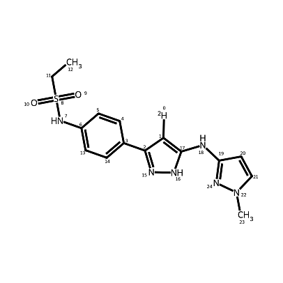 [2H]c1c(-c2ccc(NS(=O)(=O)CC)cc2)n[nH]c1Nc1ccn(C)n1